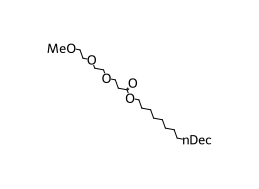 CCCCCCCCCCCCCCCCCCOC(=O)CCOCCOCCOC